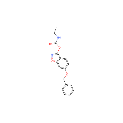 CCNC(=O)Oc1noc2cc(OCc3ccccc3)ccc12